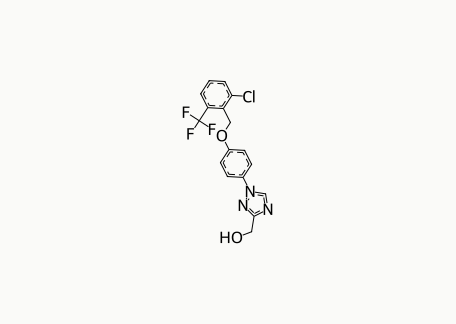 OCc1ncn(-c2ccc(OCc3c(Cl)cccc3C(F)(F)F)cc2)n1